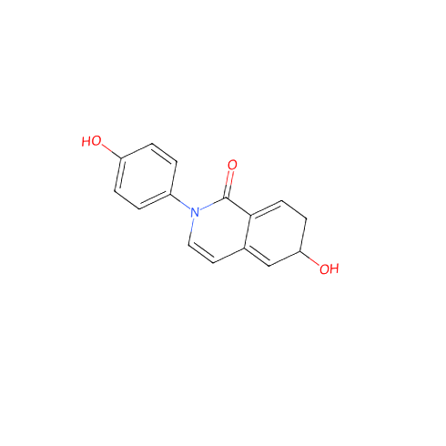 O=c1c2c(ccn1-c1ccc(O)cc1)=CC(O)CC=2